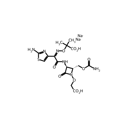 CC(C)(ON=C(C(=O)N[C@@H]1C(=O)N(OCC(=O)O)[C@H]1COC(N)=O)c1csc(N)n1)C(=O)O.[Na].[Na]